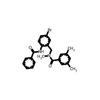 Cc1cc(C)cc(C(=O)N(C)Cc2cc(Br)ccc2NC(=O)c2ccccc2)c1